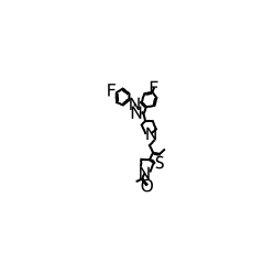 CC(=O)N1CCc2c(sc(C)c2CCN2CCC(c3nn(-c4ccc(F)cc4)c4cc(F)ccc34)CC2)C1